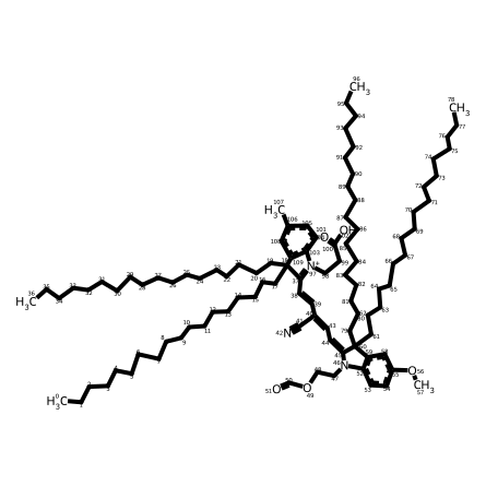 CCCCCCCCCCCCCCCCCCC1(CCCCCCCCCCCCCCCCCC)C(/C=C/C(C#N)=C/C=C2/N(CCOC=O)c3ccc(OC)cc3C2(CCCCCCCCCCCCCCCCCC)CCCCCCCCCCCCCCCCCC)=[N+](CCC(=O)O)c2ccc(C)cc21